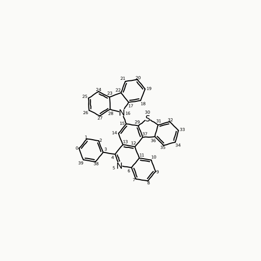 c1ccc(-c2nc3ccccc3c3c2cc(-n2c4ccccc4c4ccccc42)c2sc4ccccc4c23)cc1